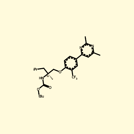 Cc1cc(-c2ccc(OC[C@](C)(CC(C)C)NC(=O)OC(C)(C)C)c(C(F)(F)F)c2)nc(C)n1